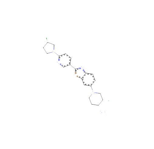 N[C@@H]1CCN(c2ccc3nc(-c4ccc(N5CC[C@@H](F)C5)nc4)sc3c2)C[C@@H]1F